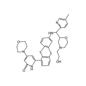 Cc1ccc(C(Nc2ccc3c(c2)Sc2cccc(-c4cc(N5CCOCC5)cc(=O)[nH]4)c2S3)C2CN(CCO)CCO2)nc1